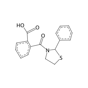 O=C(O)c1ccccc1C(=O)N1CCSC1c1ccccc1